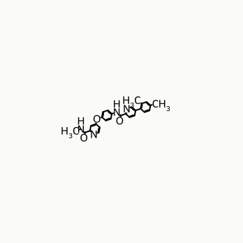 CNC(=O)c1cc(Oc2ccc(NC(=O)c3ccc(-c4ccc(C)cc4C)cn3)cc2)ccn1